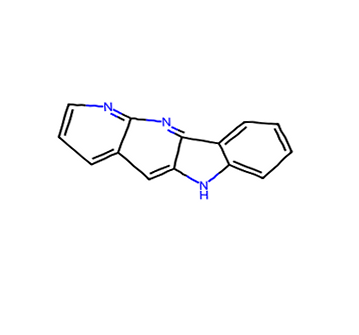 c1cnc2nc3c(cc2c1)[nH]c1ccccc13